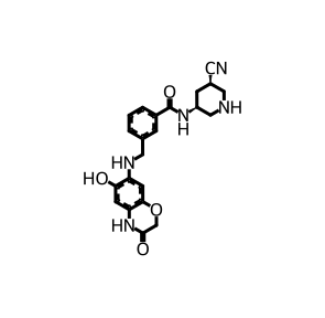 N#C[C@H]1CNC[C@@H](NC(=O)c2cccc(CNc3cc4c(cc3O)NC(=O)CO4)c2)C1